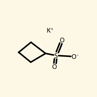 O=S(=O)([O-])C1CCC1.[K+]